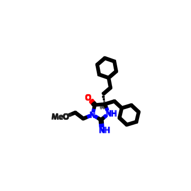 COCCN1C(=N)N[C@](CCC2CCCCC2)(CC2CCCCC2)C1=O